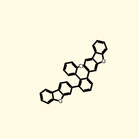 N#Cc1ccccc1-c1c(-c2ccc3c(c2)oc2ccccc23)cccc1-c1ccc2c(c1)oc1ccccc12